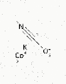 N#C[O-].[Co].[K+]